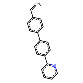 C=Cc1ccc(-c2ccc(-c3ccccn3)cc2)cc1